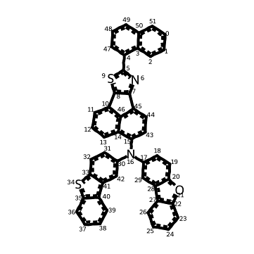 c1ccc2c(-c3nc4c(s3)-c3cccc5c(N(c6ccc7oc8ccccc8c7c6)c6ccc7sc8ccccc8c7c6)ccc-4c35)cccc2c1